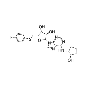 O[C@@H]1[C@H](O)[C@@H](CSc2ccc(F)cc2)O[C@H]1n1cnc2c(N[C@@H]3CCC[C@H]3O)ncnc21